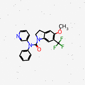 COc1cc2c(cc1C(F)(F)F)N(C(=O)N(c1ccccc1)c1cccnc1)CC2